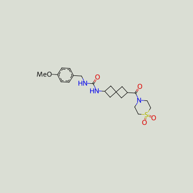 COc1ccc(CNC(=O)NC2CC3(C2)CC(C(=O)N2CCS(=O)(=O)CC2)C3)cc1